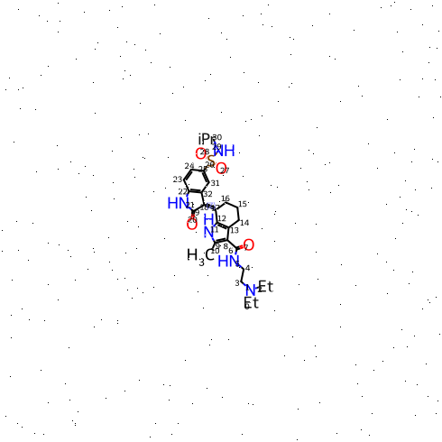 CCN(CC)CCNC(=O)c1c(C)[nH]c2c1CCC/C2=C1/C(=O)Nc2ccc(S(=O)(=O)NC(C)C)cc21